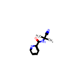 CC(C)(C#N)NC(=O)c1ccccn1